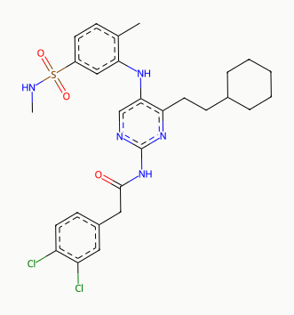 CNS(=O)(=O)c1ccc(C)c(Nc2cnc(NC(=O)Cc3ccc(Cl)c(Cl)c3)nc2CCC2CCCCC2)c1